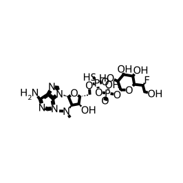 CN(C)[C@@H]1[C@H](O)[C@@H](COP(=O)(S)OP(=O)(O)OC2OC([C@@H](F)CO)C(O)C(O)C2O)O[C@H]1n1cnc2c(N)ncnc21